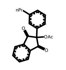 CCCc1cc[c]c(C2(OC(C)=O)C(=O)c3ccccc3C2=O)c1